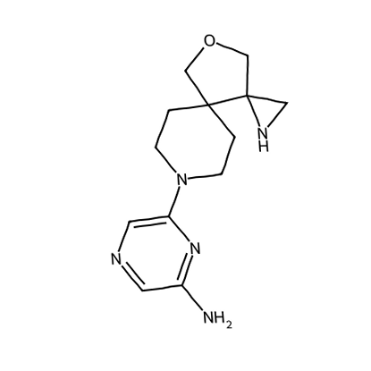 Nc1cncc(N2CCC3(CC2)COCC32CN2)n1